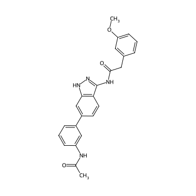 COc1cccc(CC(=O)Nc2n[nH]c3cc(-c4cccc(NC(C)=O)c4)ccc23)c1